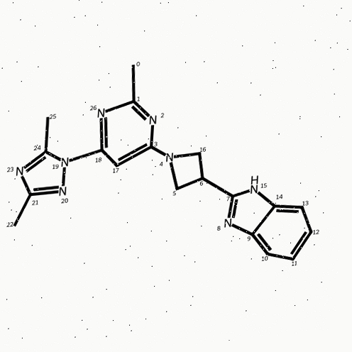 Cc1nc(N2CC(c3nc4ccccc4[nH]3)C2)cc(-n2nc(C)nc2C)n1